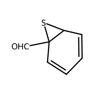 O=CC12C=CC=CC1S2